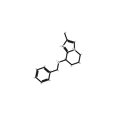 Cc1cn2c(n1)C(OCc1ccccc1)CCC2